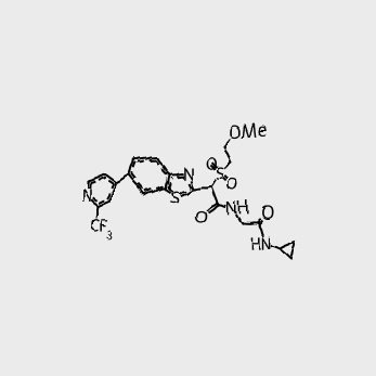 COCCS(=O)(=O)C(C(=O)NCC(=O)NC1CC1)c1nc2ccc(-c3ccnc(C(F)(F)F)c3)cc2s1